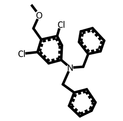 COCc1c(Cl)cc(N(Cc2ccccc2)Cc2ccccc2)cc1Cl